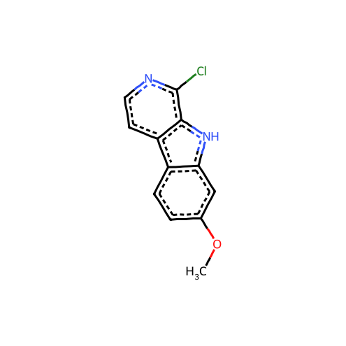 COc1ccc2c(c1)[nH]c1c(Cl)nccc12